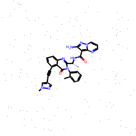 Cc1ccccc1-n1c([C@@H](C)NC(=O)c2c(N)nn3cccnc23)nc2cccc(C#Cc3cnn(C)c3)c2c1=O